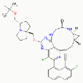 C#Cc1c(F)ccc2cccc(-c3nc4c5c(nc(OC[C@@]67CCCN6[C@H](COC(C)(C(F)(F)F)C(F)(F)F)CC7)nc5c3F)NC[C@@H](CC)N[C@H]3C[C@@H]3CC4)c12